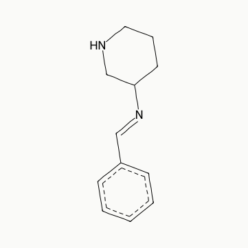 C(=N\C1CCCNC1)/c1ccccc1